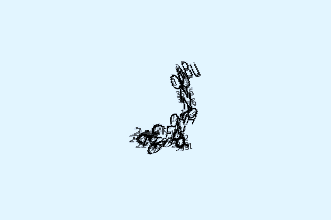 CCCCOC(=O)N1CCN(C(=O)CNC(=O)c2cc(OCC(=O)N3CCC[C@H]3C(F)(F)F)c3ccc(C)cc3n2)CC1